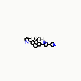 CC1(C)c2cc(-c3ccccn3)cc3ccc4cc(-c5ccc(-c6ccncc6)cn5)cc1c4c23